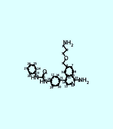 NCCCOCc1ccc2c(N)ncc(-c3ccc(NC(=O)Nc4ccccc4)cc3)c2c1